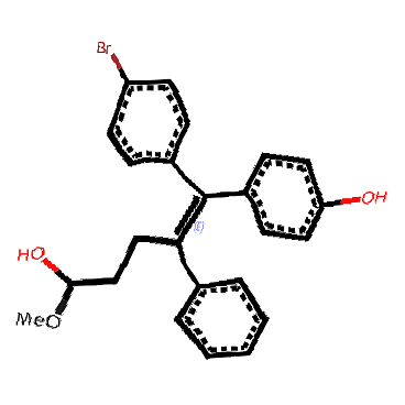 COC(O)CC/C(=C(/c1ccc(O)cc1)c1ccc(Br)cc1)c1ccccc1